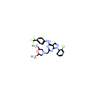 CC1CN(Cc2nc(Nc3ccc(C(F)(F)F)cc3)c3cnn(-c4ccccc4Cl)c3n2)CC(C)O1